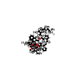 CC[C@H](C)[C@H](NC(=O)[C@@H]1CCCN1C(=O)CNC(=O)[C@@H]1CCCN1C(=O)[C@H](CC(C)C)NC(=O)[C@@H](NC(=O)[C@@H](NC(=O)[C@@H](N)C(C)C)C(C)C)[C@@H](C)O)C(=O)N[C@@H](CC(C)C)C(=O)N[C@@H](CO)C(=O)N[C@@H](CO)C(=O)N[C@@H](Cc1ccccc1)C(=O)N1CCC[C@H]1C(=O)N[C@@H](CCC(N)=O)C(=O)O